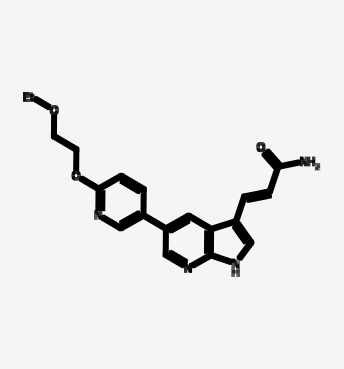 CCOCCOc1ccc(-c2cnc3[nH]cc(C=CC(N)=O)c3c2)cn1